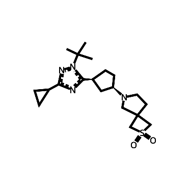 CC(C)(C)n1nc(C2CC2)nc1[C@H]1CC[C@@H](N2CCC3(C2)CS(=O)(=O)C3)C1